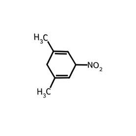 CC1=CC([N+](=O)[O-])C=C(C)C1